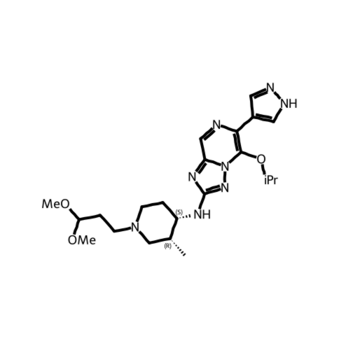 COC(CCN1CC[C@H](Nc2nc3cnc(-c4cn[nH]c4)c(OC(C)C)n3n2)[C@H](C)C1)OC